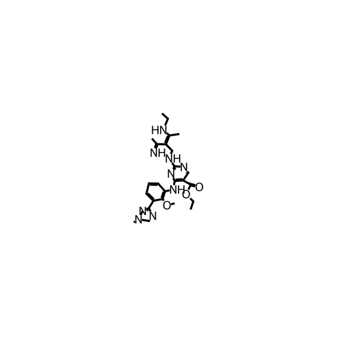 CCN/C(C)=C(/CNc1ncc(C(=O)OCC)c(Nc2cccc(-c3ncn(C)n3)c2OC)n1)C(C)=N